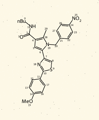 CCCCNC(=O)c1cc(-c2csc(-c3ccc(OC)cc3)n2)n(Cc2ccc([N+](=O)[O-])cc2)c1C